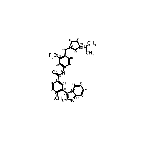 Cc1ccc(C(=O)Nc2ccc(CN3CC[C@H](N(C)C)C3)c(C(F)(F)F)c2)cc1-c1cnc2ccccn12